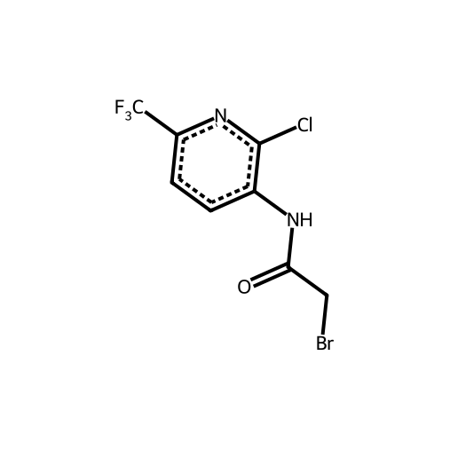 O=C(CBr)Nc1ccc(C(F)(F)F)nc1Cl